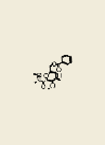 COC1C(C)[C@H]2OC(c3ccccc3)OCC2O[C@H]1C(=O)N(C)OC